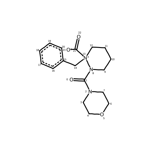 O=C(N1CCOCC1)N1CCCC[N+]1(Cc1ccccc1)C(=O)[O-]